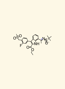 CCOC(=O)c1[nH]c2c(/C(C)=N/[S@+]([O-])C(C)(C)C)cccc2c1-c1ccc(CS(C)(=O)=O)c(F)c1